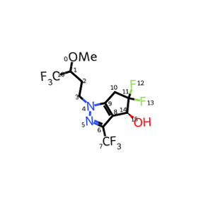 COC(CCn1nc(C(F)(F)F)c2c1CC(F)(F)[C@H]2O)C(F)(F)F